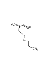 C=C(C=N)CCCCCC